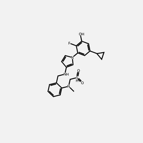 CN(C[SH](=O)=O)c1ccccc1CNc1ccn(-c2cc(C3CC3)cc(O)c2F)c1